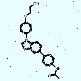 CC(=O)Nc1ccc(-c2ccc3c(c2)ncn3-c2ccc(OCCO)cc2)cc1